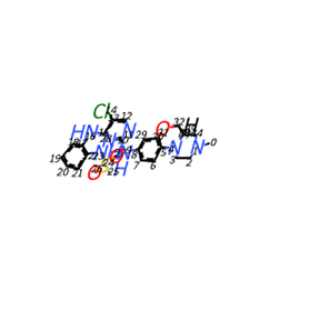 CN1CCN2c3ccc(Nc4ncc(Cl)c(Nc5ccccc5NS(C)(=O)=O)n4)cc3OC[C@H]2C1